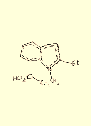 CC(=O)O.CCc1cc2ccccc2n1C